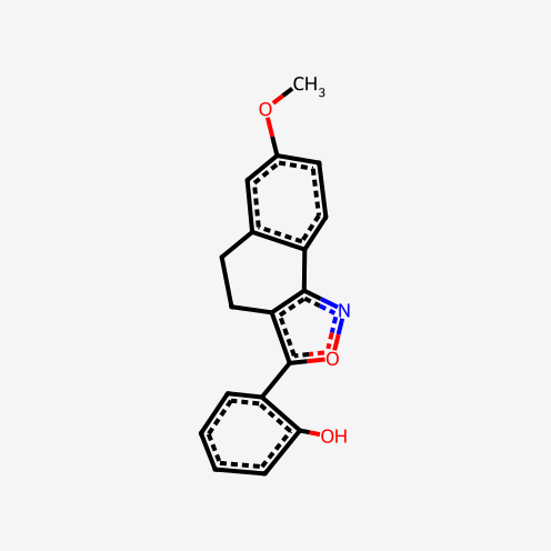 COc1ccc2c(c1)CCc1c-2noc1-c1ccccc1O